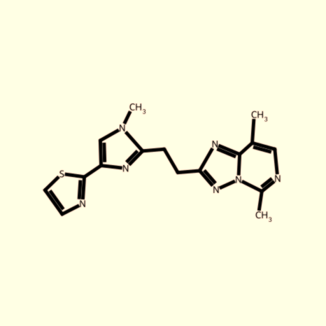 Cc1cnc(C)n2nc(CCc3nc(-c4nccs4)cn3C)nc12